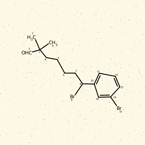 CC(C)(C=O)CCCCC(Br)c1cccc(Br)c1